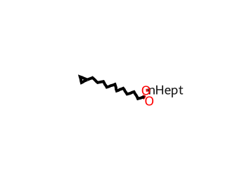 CCCCCCCOC(=O)CCCCCCCCCCC1CC1